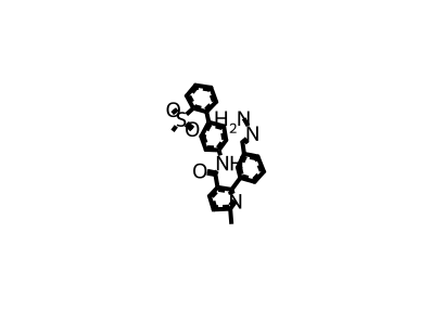 Cc1ccc(C(=O)Nc2ccc(-c3ccccc3S(C)(=O)=O)cc2)c(-c2cccc(C=NN)c2)n1